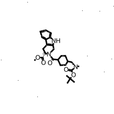 COC(=O)[C@@H]1Cc2c([nH]c3ccccc23)CN1C(=O)C1CCC(CN(C)C(=O)OC(C)(C)C)CC1